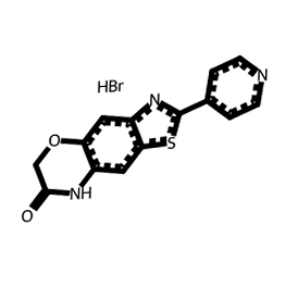 Br.O=C1COc2cc3nc(-c4ccncc4)sc3cc2N1